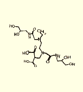 CCN(CCN(CC(=O)NCC(O)CO)CC(C(=O)O)C(=O)O)CC(=O)NCC(O)CO